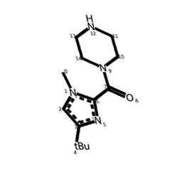 Cn1cc(C(C)(C)C)nc1C(=O)N1CCNCC1